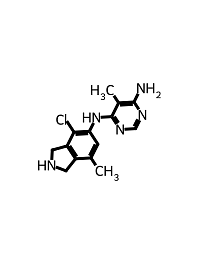 Cc1cc(Nc2ncnc(N)c2C)c(Cl)c2c1CNC2